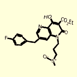 CCOC(=O)c1c(O)c2ncc(Cc3ccc(F)cc3)cc2n(CCC[S+](C)[O-])c1=O